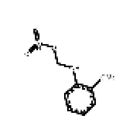 COc1ccccc1NCO[SH](=O)=O